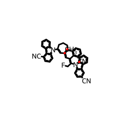 C/C=C\C(=C(/CF)n1c2ccccc2c2cc(C#N)ccc21)c1c(C#N)cccc1C1=CC=C(n2c3ccccc3c3c(C#N)cccc32)CCC1